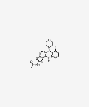 CC(=O)Nc1nc2c(O)c(C(c3ncccc3F)N3CCOCC3)ccc2s1